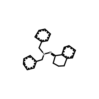 c1ccc(CN(Cc2ccccc2)N=C2CCCc3ccccc32)cc1